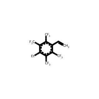 C=Cc1c(C(F)(F)F)c(C(F)(F)F)c(CC)c(C(F)(F)F)c1C(F)(F)F